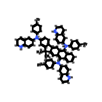 CC(C)c1ccc(N(c2ccc3c(c2)C(C)(C)c2cc4c(N(c5ccc(C(C)C)cc5)c5ccc6ncccc6c5)c5ccccc5c(N(c5ccc(C(C)C)cc5)c5ccc6ncccc6c5)c4cc2-3)c2ccc3ncccc3c2)cc1